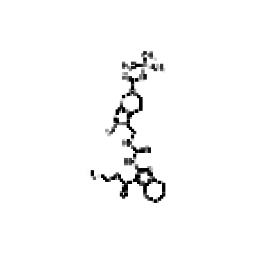 CCOC(=O)c1c(NC(=O)NCc2c(Br)sc3c2CCN(C(=O)OC(C)(C)C)C3)sc2c1CCCC2